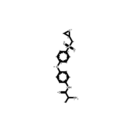 CC(N)C(=O)Nc1ccc(Oc2ccc(S(=O)(=O)CC3CS3)cc2)cc1